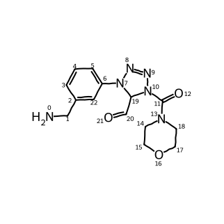 NCc1cccc(N2N=NN(C(=O)N3CCOCC3)C2C=O)c1